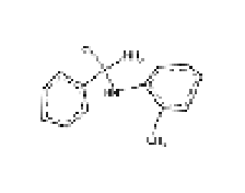 Cc1ccccc1NC(N)(Cl)c1ccccc1